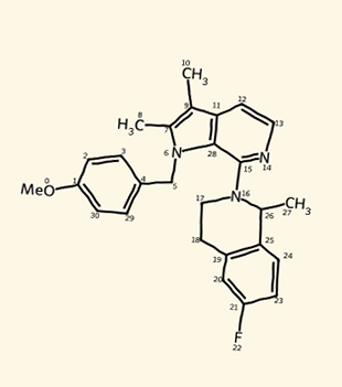 COc1ccc(Cn2c(C)c(C)c3ccnc(N4CCc5cc(F)ccc5C4C)c32)cc1